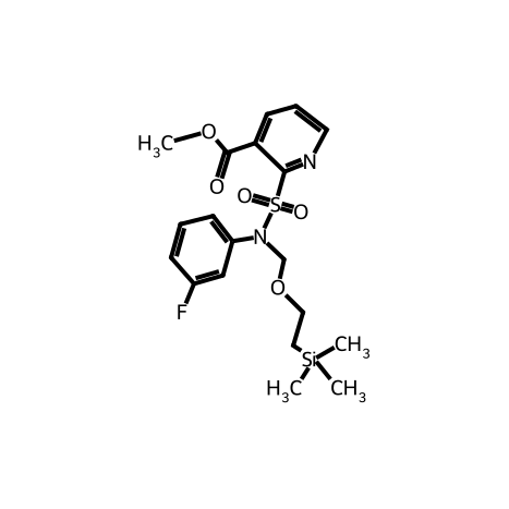 COC(=O)c1cccnc1S(=O)(=O)N(COCC[Si](C)(C)C)c1cccc(F)c1